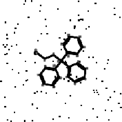 ClCCC(c1ccccc1)(c1ccccc1)c1ccccc1